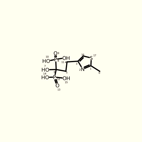 Cc1nc(CCC(O)(P(=O)(O)O)P(=O)(O)O)cs1